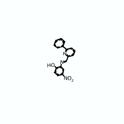 O=[N+]([O-])c1ccc(O)c(/N=C/c2cccc(-c3ccccc3)n2)c1